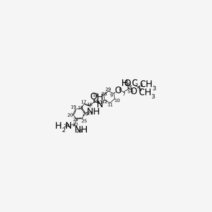 CC(C)(C)OC(=O)CO[C@H]1CC[C@H](NC(=O)c2cc3ccc(C(=N)N)cc3[nH]2)CC1